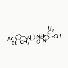 C#Cc1cnc(C(=O)NC2CCN(CCc3ccc(C(C)=O)c(CC)c3C)CC2)cc1C